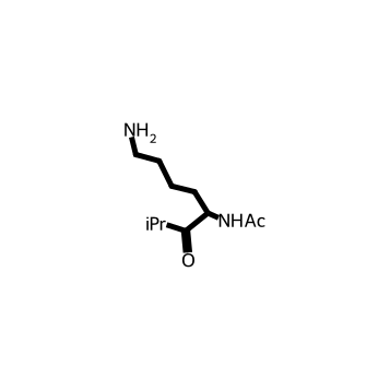 CC(=O)NC(CCCCN)C(=O)C(C)C